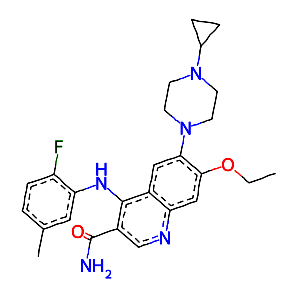 CCOc1cc2ncc(C(N)=O)c(Nc3cc(C)ccc3F)c2cc1N1CCN(C2CC2)CC1